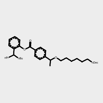 CCCCCCCCCCCCCCCCOC(C)c1ccc(C(=O)Oc2ccccc2C(CCC)CCCC)cc1